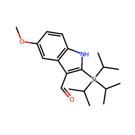 COc1ccc2[nH]c([Si](C(C)C)(C(C)C)C(C)C)c(C=O)c2c1